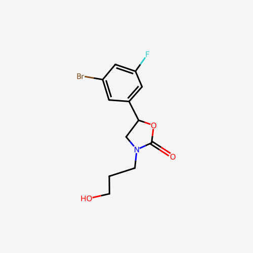 O=C1OC(c2cc(F)cc(Br)c2)CN1CCCO